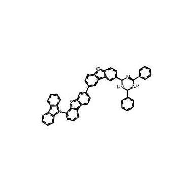 c1ccc(C2=NC(c3ccc4oc5ccc(-c6ccc7c(c6)sc6c(-n8c9ccccc9c9ccccc98)cccc67)cc5c4c3)NC(c3ccccc3)N2)cc1